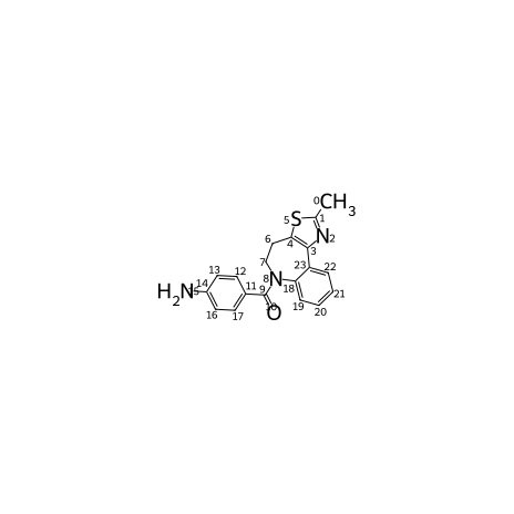 Cc1nc2c(s1)CCN(C(=O)c1ccc(N)cc1)c1ccccc1-2